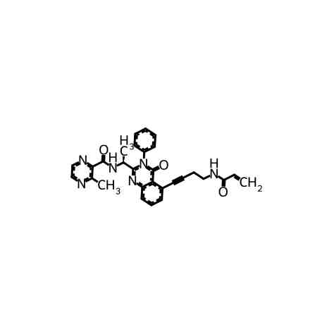 C=CC(=O)NCCC#Cc1cccc2nc([C@H](C)NC(=O)c3nccnc3C)n(-c3ccccc3)c(=O)c12